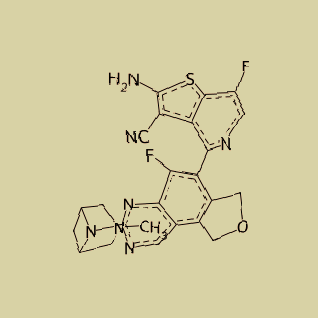 CN1CC2CC(C1)N2c1ncc2c3c(c(-c4ncc(F)c5sc(N)c(C#N)c45)c(F)c2n1)COC3